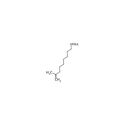 C=C(C)CCCCCCCCCCCCC